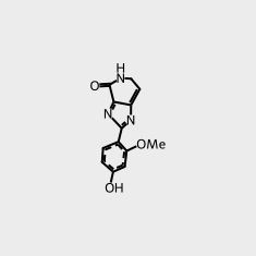 COc1cc(O)ccc1C1=NC2=CCNC(=O)C2=N1